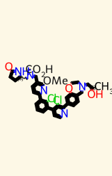 COc1nc(-c2cccc(-c3ccnc(-c4ccc5c(c4)OCCN(C[C@H](C)O)C5)c3Cl)c2Cl)ccc1CN(C[C@@H]1CCC(=O)N1)C(=O)O